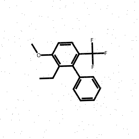 CCc1c(OC)c[c]c(C(F)(F)F)c1-c1ccccc1